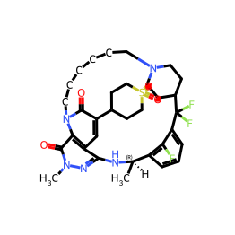 C[C@H]1Nc2nn(C)c(=O)c3c2cc(C2CCS(=O)(=O)CC2)c(=O)n3CCCCCCN2CCC(CC2)C(F)(F)c2cccc1c2F